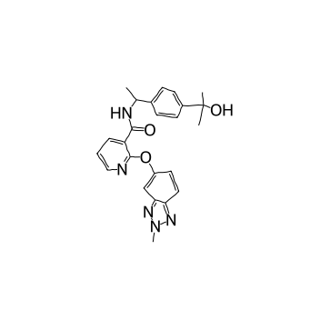 CC(NC(=O)c1cccnc1Oc1ccc2nn(C)nc2c1)c1ccc(C(C)(C)O)cc1